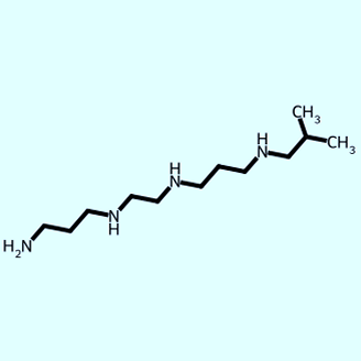 CC(C)CNCCCNCCNCCCN